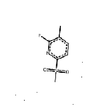 Cc1ccc(S(C)(=O)=O)nc1F